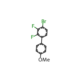 COc1ccc(-c2ccc(Br)c(F)c2F)cc1